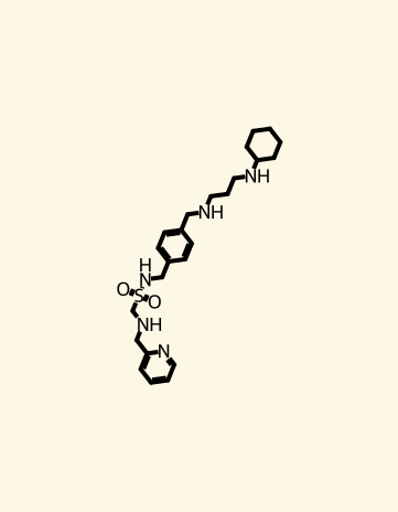 O=S(=O)(CNCc1ccccn1)NCc1ccc(CNCCCNC2CCCCC2)cc1